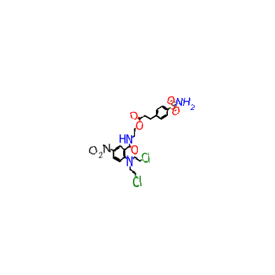 NS(=O)(=O)c1ccc(CCC(=O)OCCNC(=O)c2cc([N+](=O)[O-])ccc2N(CCCl)CCCl)cc1